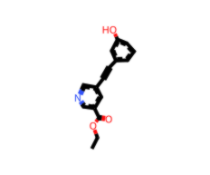 CCOC(=O)c1cncc(C#Cc2cccc(O)c2)c1